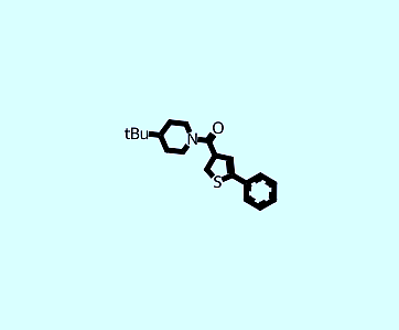 CC(C)(C)C1CCN(C(=O)C2C=C(c3ccccc3)SC2)CC1